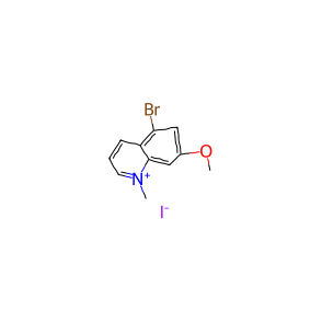 COc1cc(Br)c2ccc[n+](C)c2c1.[I-]